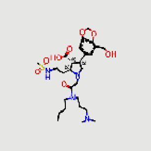 CCCCN(CCCN(C)C)C(=O)CN1C[C@H](c2cc(CO)c3c(c2)OCO3)[C@@H](C(=O)O)[C@@H]1CCNS(C)(=O)=O